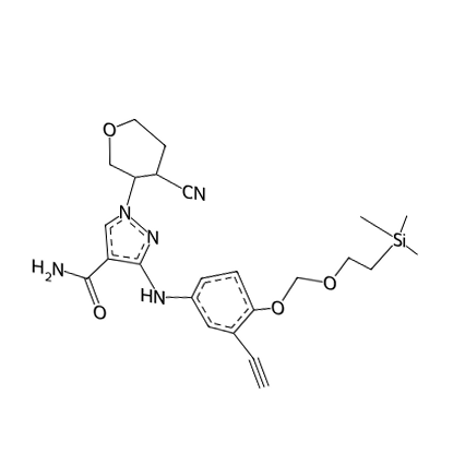 C#Cc1cc(Nc2nn(C3COCCC3C#N)cc2C(N)=O)ccc1OCOCC[Si](C)(C)C